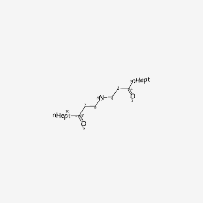 CCCCCCCC(=O)CC[N]CCC(=O)CCCCCCC